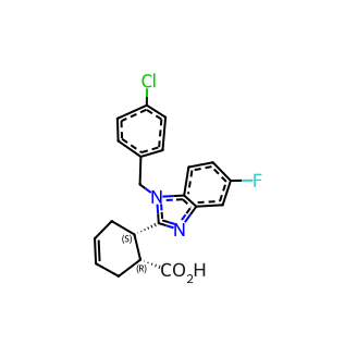 O=C(O)[C@@H]1CC=CC[C@@H]1c1nc2cc(F)ccc2n1Cc1ccc(Cl)cc1